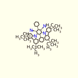 CC(C)(C)c1ccc2c(c1)c1cc(C(C)(C)C)ccc1n2-c1c(C#N)c(-c2ccccc2)c(C#N)c(-n2c3ccc(C(C)(C)C)cc3c3cc(C(C)(C)C)ccc32)c1-c1ccccc1